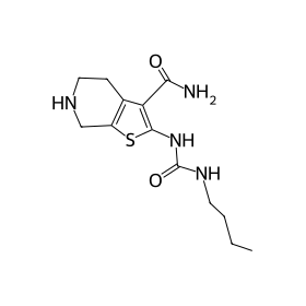 CCCCNC(=O)Nc1sc2c(c1C(N)=O)CCNC2